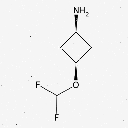 N[C@H]1C[C@@H](OC(F)F)C1